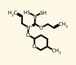 C=CCOC(N(S)S)=[N+](CC=C)OC1CCC(C)CO1